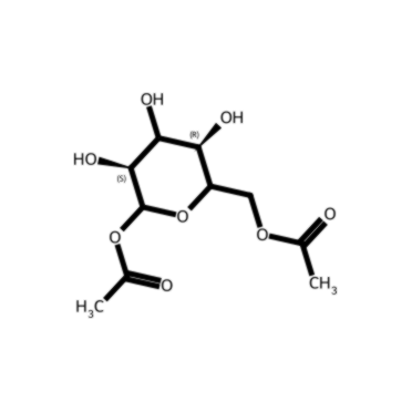 CC(=O)OCC1OC(OC(C)=O)[C@@H](O)C(O)[C@H]1O